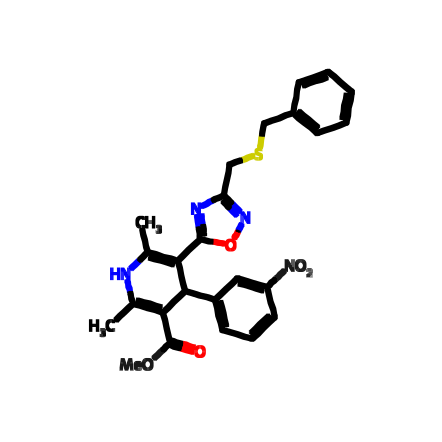 COC(=O)C1=C(C)NC(C)=C(c2nc(CSCc3ccccc3)no2)C1c1cccc([N+](=O)[O-])c1